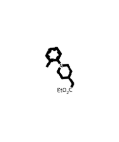 CCOC(=O)CC1CCN(c2ccccc2C)CC1